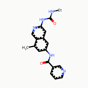 CCNC(=O)Nc1cc2cc(NC(=O)c3cccnc3)cc(C)c2cn1